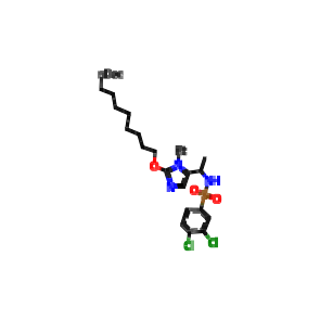 CCCCCCCCCCCCCCCCCCOc1ncc(C(C)NS(=O)(=O)c2ccc(Cl)c(Cl)c2)n1CC